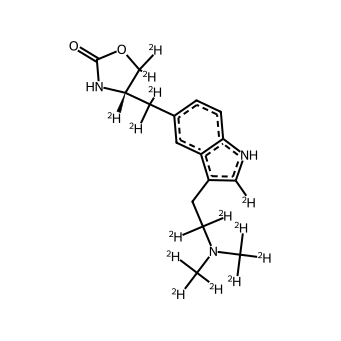 [2H]c1[nH]c2ccc(C([2H])([2H])[C@]3([2H])NC(=O)OC3([2H])[2H])cc2c1CC([2H])([2H])N(C([2H])([2H])[2H])C([2H])([2H])[2H]